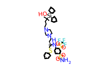 CC(C)(CCCN1CCN(CC[C@H](CSc2ccccc2)Nc2ccc(S(N)(=O)=O)cc2S(=O)(=O)C(F)(F)F)CC1)[Si](O)(c1ccccc1)c1ccccc1